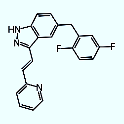 Fc1ccc(F)c(Cc2ccc3[nH]nc(C=Cc4ccccn4)c3c2)c1